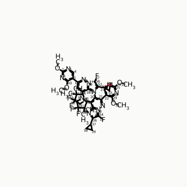 COc1ncc(-c2cc(N3CC(C)(C)C(F)(F)C3)c3n(-c4c(-c5cnc(OC)nc5OC)nn5c(F)c(C6CC6)nc5c4N4CC(C)(C)C(F)(F)C4)c(C4CC4)c(F)[n+]3n2)c(OC)n1